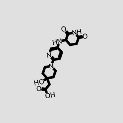 O=C(O)CC1(O)CCN(c2ccc(NC3CCC(=O)NC3=O)cn2)CC1